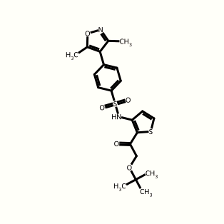 Cc1noc(C)c1-c1ccc(S(=O)(=O)Nc2ccsc2C(=O)COC(C)(C)C)cc1